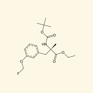 CCOC(=O)[C@](C)(Cc1cccc(OCF)c1)NC(=O)OC(C)(C)C